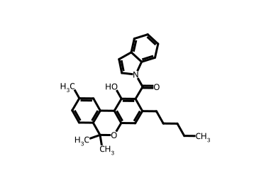 CCCCCc1cc2c(c(O)c1C(=O)n1ccc3ccccc31)-c1cc(C)ccc1C(C)(C)O2